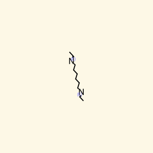 C/C=N/CCCCCC/N=C/C